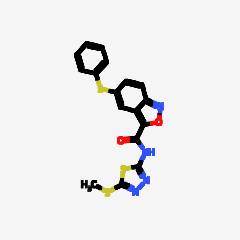 CSc1nnc(NC(=O)c2onc3ccc(Sc4ccccc4)cc23)s1